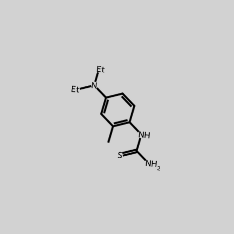 CCN(CC)c1ccc(NC(N)=S)c(C)c1